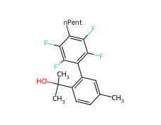 CCCCCc1c(F)c(F)c(-c2cc(C)ccc2C(C)(C)O)c(F)c1F